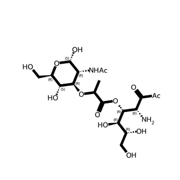 CC(=O)N[C@@H]1[C@@H](OC(C)C(=O)O[C@@H]([C@H](O)[C@H](O)CO)[C@@H](N)C(=O)C(C)=O)[C@H](O)[C@@H](CO)O[C@@H]1O